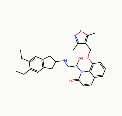 CCc1cc2c(cc1CC)CC(NCC(O)n1c(=O)ccc3cccc(OCc4c(C)noc4C)c31)C2